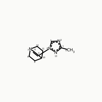 Cc1ncn(C2=CN3CCC2CC3)n1